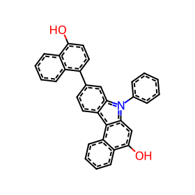 Oc1ccc(-c2ccc3c4c5ccccc5c(O)cc4n(-c4ccccc4)c3c2)c2ccccc12